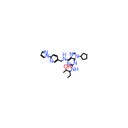 CCC(Nc1nc(NCc2ccc(-n3cccn3)nc2)c2ncn(C3CCCC3)c2n1)C(C)O